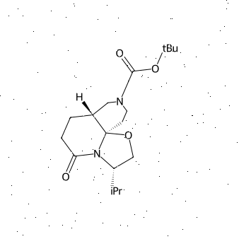 CC(C)[C@H]1CO[C@]23CCN(C(=O)OC(C)(C)C)C[C@H]2CCC(=O)N13